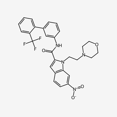 O=C(Nc1cccc(-c2ccccc2C(F)(F)F)c1)c1cc2ccc([N+](=O)[O-])cc2n1CCN1CCOCC1